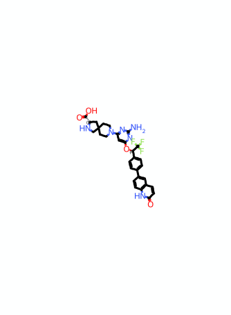 Nc1nc(O[C@H](c2ccc(-c3ccc4[nH]c(=O)ccc4c3)cc2)C(F)(F)F)cc(N2CCC3(CC2)CN[C@H](C(=O)O)C3)n1